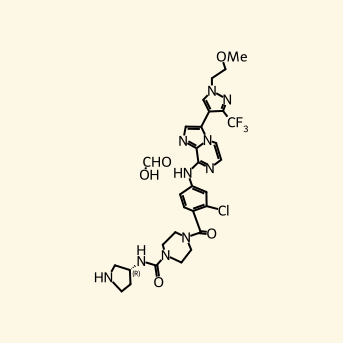 COCCn1cc(-c2cnc3c(Nc4ccc(C(=O)N5CCN(C(=O)N[C@@H]6CCNC6)CC5)c(Cl)c4)nccn23)c(C(F)(F)F)n1.O=CO